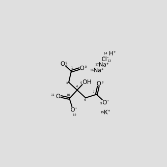 O=C([O-])CC(O)(CC(=O)[O-])C(=O)[O-].[Cl-].[H+].[K+].[Na+].[Na+]